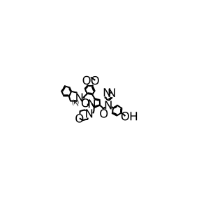 C[C@@H]1Cc2ccccc2CN1C(=O)c1cc2c(cc1-c1cc(C(=O)N(c3ccc(O)cc3)c3cnn(C)c3)c(CN3CCOCC3)n1C)OCO2